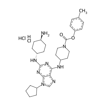 Cc1ccc(OC(=O)N2CCC(Nc3nc(N[C@H]4CC[C@H](N)CC4)nc4c3ncn4C3CCCC3)CC2)cc1.Cl.Cl